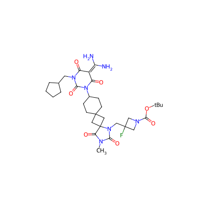 CN1C(=O)N(CC2(F)CN(C(=O)OC(C)(C)C)C2)C2(CC3(CCC(N4C(=O)C(=C(N)N)C(=O)N(CC5CCCC5)C4=O)CC3)C2)C1=O